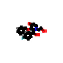 O=c1ccn(CCO)c(C(O)c2ccc(F)cc2)c1OCc1ccccc1